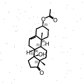 CC(=O)O[C@H]1CC[C@@]2(C)C(=CC[C@@H]3[C@@H]2CC[C@]2(C)C(=O)CC[C@]32O)C1